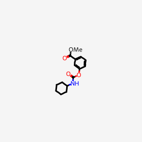 COC(=O)c1cccc(OC(=O)NC2CCCCC2)c1